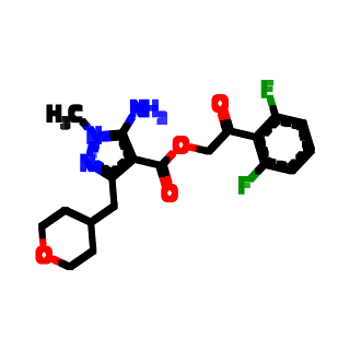 Cn1nc(CC2CCOCC2)c(C(=O)OCC(=O)c2c(F)cccc2F)c1N